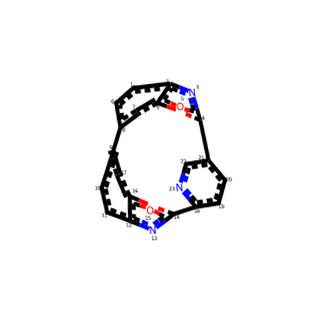 c1cc2nc3oc2cc1-c1ccc2nc(oc2c1)-c1ccc-3cn1